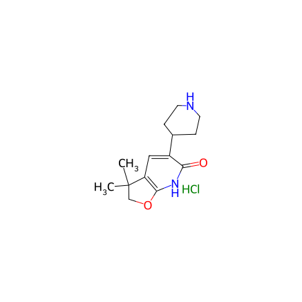 CC1(C)COc2[nH]c(=O)c(C3CCNCC3)cc21.Cl